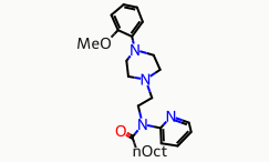 CCCCCCCCC(=O)N(CCN1CCN(c2ccccc2OC)CC1)c1ccccn1